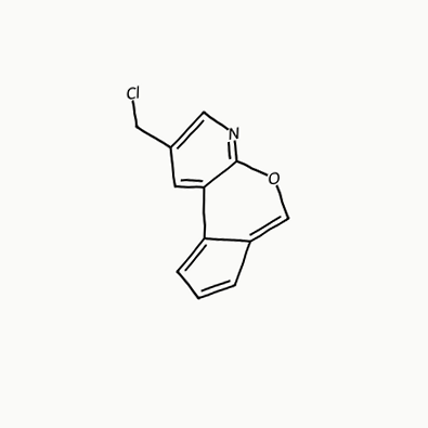 ClCc1cnc2occ3cccc-3c2c1